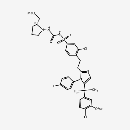 COC[C@H]1CCCN1NC(=O)NS(=O)(=O)c1ccc(CSc2ncc(C(C)(C)c3ccc(Cl)c(OC)c3)n2-c2ccc(F)cc2)c(Cl)c1